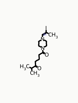 C/C(I)=C\N1CCN(C(=O)CCCC(=O)C(C)C)CC1